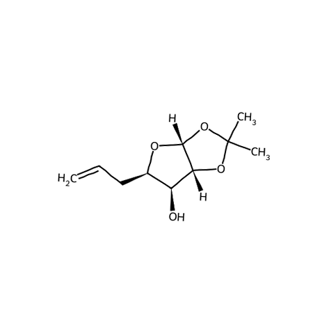 C=CC[C@H]1O[C@@H]2OC(C)(C)O[C@@H]2[C@H]1O